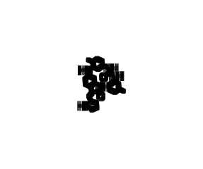 Cc1cccc(NC(=O)Nc2ccc(C)c(Nc3ccc4c(c3)NC(=O)C4=Cc3ccc[nH]3)c2)c1